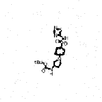 CC(C)(C)OC(=O)NC1CCN(c2ccc(S(=O)(=O)Nc3ncns3)cc2)C1